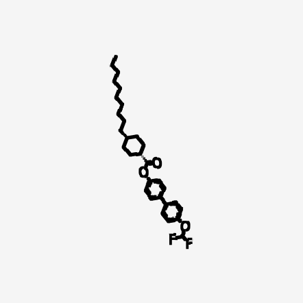 CCCCCCCCCC[C@H]1CC[C@H](C(=O)Oc2ccc(-c3ccc(OC(F)F)cc3)cc2)CC1